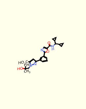 CC(C)(O)Cn1nc(-c2cccc(-c3ncc(C(=O)NC(C4CC4)C4CC4)o3)c2)cc1C(=O)O